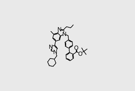 CCCc1nc2c(C)cc(-c3cn(CC4CCCCC4)cn3)cc2n1Cc1ccc(-c2ccccc2C(=O)OC(C)(C)C)cc1